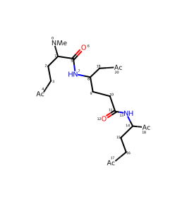 CNC(CCC(C)=O)C(=O)NC(CCC(=O)NC(CCC(C)=O)C(C)=O)CC(C)=O